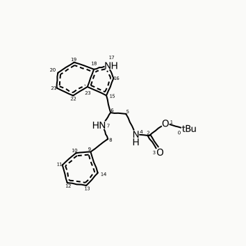 CC(C)(C)OC(=O)NCC(NCc1ccccc1)c1c[nH]c2ccccc12